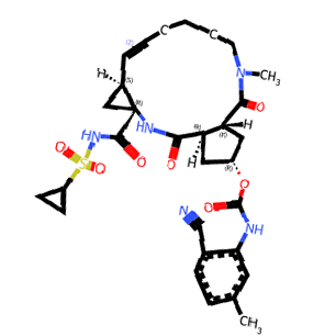 Cc1ccc(C#N)c(NC(=O)O[C@@H]2C[C@H]3C(=O)N[C@]4(C(=O)NS(=O)(=O)C5CC5)C[C@H]4/C=C\CCCCN(C)C(=O)[C@@H]3C2)c1